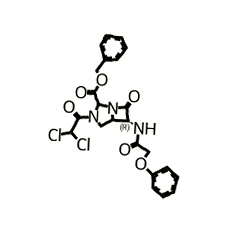 O=C(COc1ccccc1)N[C@H]1C(=O)N2C1CN(C(=O)C(Cl)Cl)C2C(=O)OCc1ccccc1